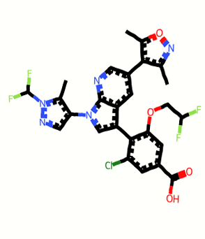 Cc1noc(C)c1-c1cnc2c(c1)c(-c1c(Cl)cc(C(=O)O)cc1OCC(F)F)cn2-c1cnn(C(F)F)c1C